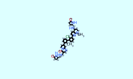 Cc1c(-c2ccn3c(=O)c(CNC[C@H]4CCC(=O)N4)cnc3c2)cccc1-c1cccc(-c2ccc3c(n2)N(C)CC[C@H]3NC[C@@H]2CCC(=O)N2)c1Cl